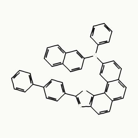 c1ccc(-c2ccc(-c3nc4ccc5ccc6ccc(N(c7ccccc7)c7ccc8ccccc8c7)cc6c5c4s3)cc2)cc1